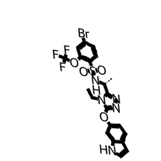 CCn1c(Oc2ccc3cc[nH]c3c2)nnc1[C@@H](C)NS(=O)(=O)c1ccc(Br)cc1OC(F)(F)F